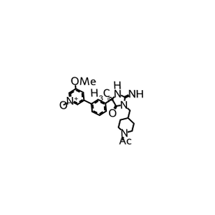 COc1cc(-c2cccc([C@@]3(C)NC(=N)N(CC4CCN(C(C)=O)CC4)C3=O)c2)c[n+]([O-])c1